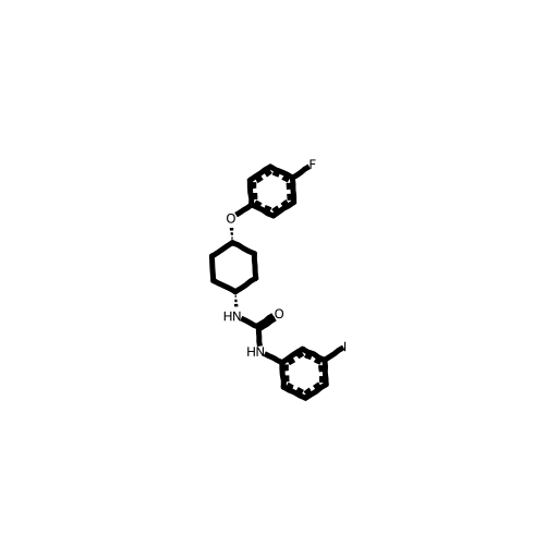 O=C(Nc1cccc(I)c1)N[C@H]1CC[C@@H](Oc2ccc(F)cc2)CC1